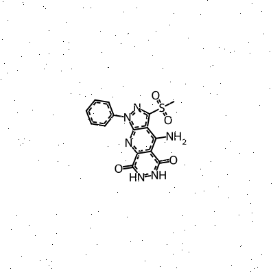 CS(=O)(=O)c1nn(-c2ccccc2)c2nc3c(=O)[nH][nH]c(=O)c3c(N)c12